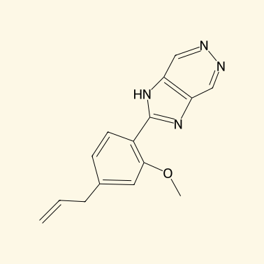 C=CCc1ccc(-c2nc3cnncc3[nH]2)c(OC)c1